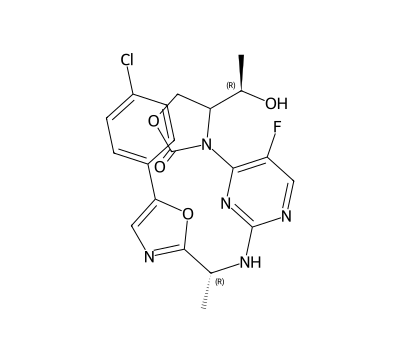 C[C@@H](Nc1ncc(F)c(N2C(=O)OCC2[C@@H](C)O)n1)c1ncc(-c2ccc(Cl)cc2)o1